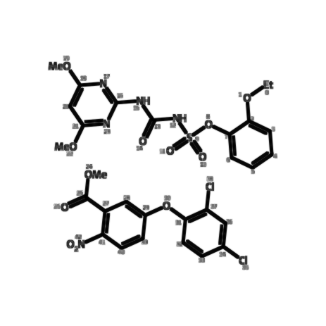 CCOc1ccccc1OS(=O)(=O)NC(=O)Nc1nc(OC)cc(OC)n1.COC(=O)c1cc(Oc2ccc(Cl)cc2Cl)ccc1[N+](=O)[O-]